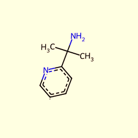 CC(C)(N)c1cc[c]cn1